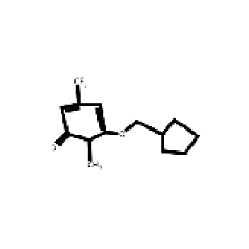 CC1C(=O)C=C(C(F)(F)F)C=C1OCC1CCCC1